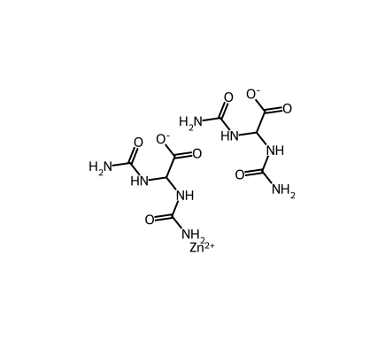 NC(=O)NC(NC(N)=O)C(=O)[O-].NC(=O)NC(NC(N)=O)C(=O)[O-].[Zn+2]